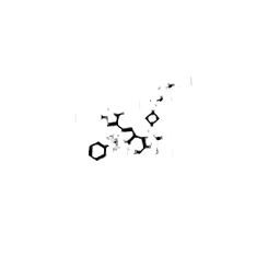 Cn1cc(-c2cc3c(ncc4c3n(C3CC(NC(=O)OC(C)(C)C)C3)c(=O)n4C)n2S(=O)(=O)c2ccccc2)c(F)n1